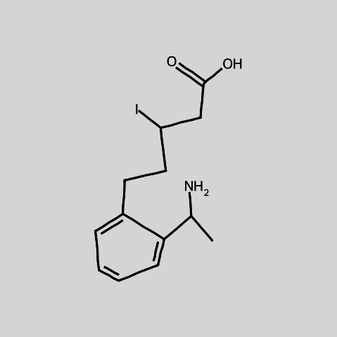 CC(N)c1ccccc1CCC(I)CC(=O)O